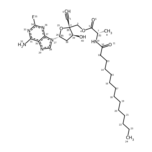 C#C[C@]1(COC(=O)[C@H](C)NC(=O)CCCCCCCCCCCCC)O[C@@H](n2cnc3c(N)nc(F)nc32)C[C@@H]1O